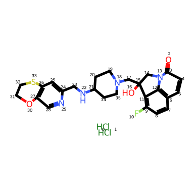 Cl.Cl.O=c1ccc2ccc(F)c3c2n1CC3(O)CN1CCC(NCc2cc3c(cn2)OCCS3)CC1